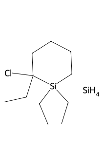 CCC1(Cl)CCCC[Si]1(CC)CC.[SiH4]